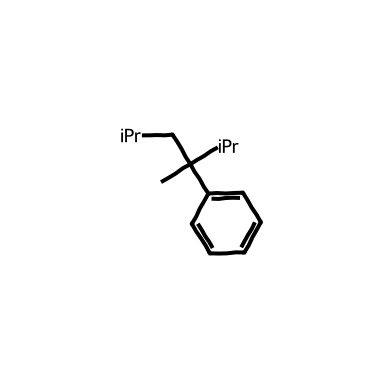 CC(C)CC(C)(c1ccccc1)C(C)C